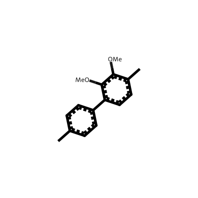 COc1c(C)ccc(-c2ccc(C)cc2)c1OC